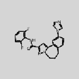 O=C(Nc1c(F)cccc1F)c1cc2n(n1)CCCc1ccc(-n3ccnc3)cc1-2